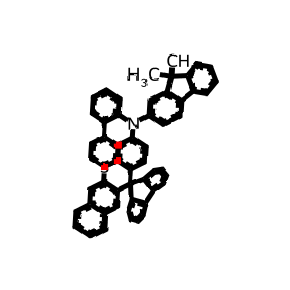 CC1(C)c2ccccc2-c2ccc(N(c3ccc4c(c3)Sc3cc5ccccc5cc3C43c4ccccc4-c4ccccc43)c3ccccc3-c3ccccc3)cc21